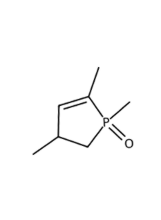 CC1=CC(C)CP1(C)=O